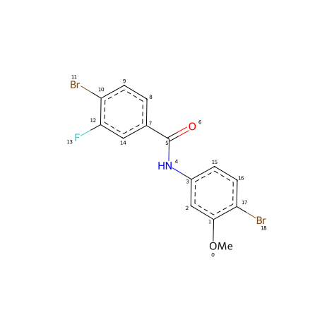 COc1cc(NC(=O)c2ccc(Br)c(F)c2)ccc1Br